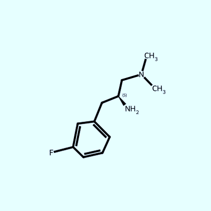 CN(C)C[C@@H](N)Cc1cccc(F)c1